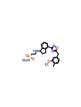 CCOc1cc(Cc2nc(-c3cccc4c3CCC4NCCS(=O)(=O)NC)no2)ccc1C